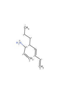 C=C/C=C/CCCC.C=CCN